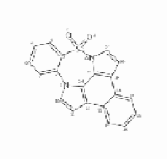 O=S1(=O)c2ccccc2-n2ccc3c4ccccc4c4ccn1c4c32